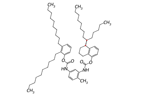 CCCCCCCCCCc1cccc(OC(=O)Nc2ccc(C)c(NC(=O)Oc3cccc(CCCCCCCCCC)c3CCCCCCCCCC)c2)c1CCCCCCCCCC